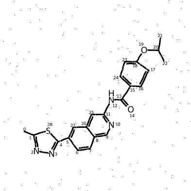 Cc1nnc(-c2ccc3cnc(NC(=O)c4ccc(OC(C)C)cc4)cc3c2)s1